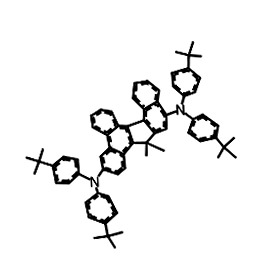 CC(C)(C)c1ccc(N(c2ccc(C(C)(C)C)cc2)c2ccc3c4c(c5ccccc5c3c2)-c2c(cc(N(c3ccc(C(C)(C)C)cc3)c3ccc(C(C)(C)C)cc3)c3ccccc23)C4(C)C)cc1